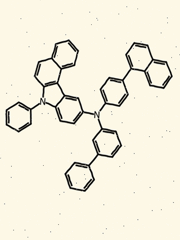 c1ccc(-c2cccc(N(c3ccc(-c4cccc5ccccc45)cc3)c3ccc4c(c3)c3c5ccccc5ccc3n4-c3ccccc3)c2)cc1